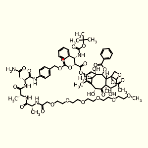 COCCOCCOCCOCCOCCOCC(=O)N[C@H](C)C(=O)N[C@H](C)C(=O)N[C@H](CC(N)=O)C(=O)Nc1ccc(COC(=O)O[C@@H](C(=O)O[C@H]2C[C@@]3(O)[C@@H](OC(=O)c4ccccc4)[C@H]4[C@](C)(C(=O)[C@H](O)C(=C2C)C3(C)C)[C@@H](O)CC2OC[C@]24OC(C)=O)[C@@H](NC(=O)OC(C)(C)C)c2ccccc2)cc1